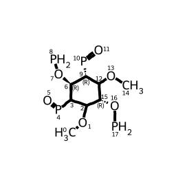 COC1C(P=O)[C@@H](OP)[C@H](P=O)C(OC)[C@@H]1OP